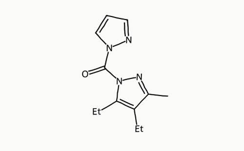 CCc1c(C)nn(C(=O)n2cccn2)c1CC